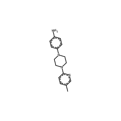 Cc1ccc(N2CCN(c3ccc(N)cc3)CC2)nc1